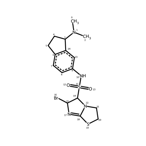 CN(C)C1CCc2ccc(NS(=O)(=O)C3C(Br)N=C4SCCN43)cc21